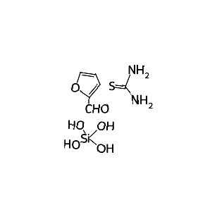 NC(N)=S.O=Cc1ccco1.O[Si](O)(O)O